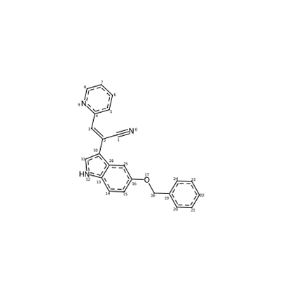 N#CC(=Cc1ccccn1)c1c[nH]c2ccc(OCc3ccccc3)cc12